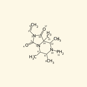 C=CN1C(=O)N2C(C)C(C)N(P)C(C)C2(C)C1=O